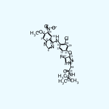 COc1cc2ncnc(Nc3ccc(Oc4nn(CC(=O)NC(C)(C)C)cc4F)cc3Cl)c2cc1[N+](=O)[O-]